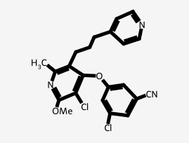 COc1nc(C)c(CCCc2ccncc2)c(Oc2cc(Cl)cc(C#N)c2)c1Cl